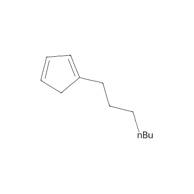 CCCCCCCC1=CC=CC1